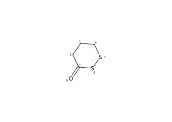 O=C1CCCSS1